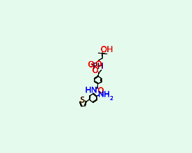 CC(O[PH](=O)OCCC(C)(C)O)c1ccc(C(=O)Nc2cc(-c3cccs3)ccc2N)cc1